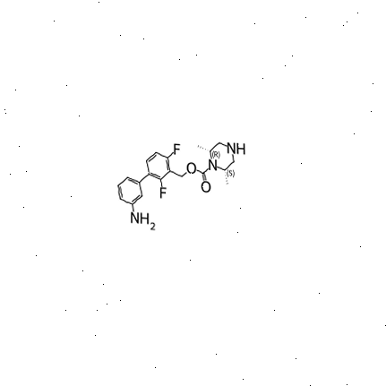 C[C@@H]1CNC[C@H](C)N1C(=O)OCc1c(F)ccc(-c2cccc(N)c2)c1F